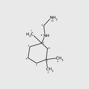 CC1(C)CCCC(C)(NCN)C1